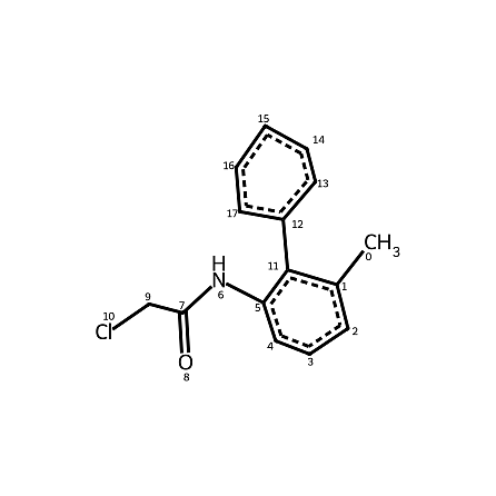 Cc1cccc(NC(=O)CCl)c1-c1ccccc1